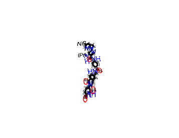 CC(C)Nc1cc(-n2ccc3cc(C#N)cnc32)ncc1C(=O)N[C@H]1CC[C@H](C(=O)NCc2ccc3c(c2)CN(C2CCC(=O)NC2=O)C3=O)CC1